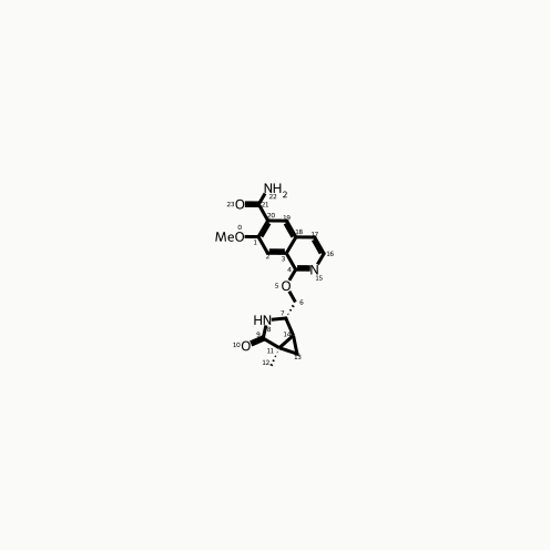 COc1cc2c(OC[C@H]3NC(=O)[C@]4(C)CC34)nccc2cc1C(N)=O